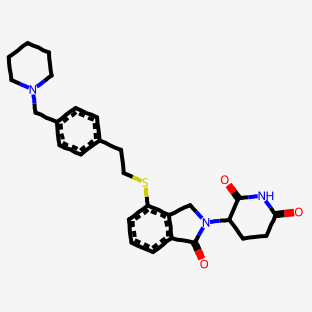 O=C1CCC(N2Cc3c(SCCc4ccc(CN5CCCCC5)cc4)cccc3C2=O)C(=O)N1